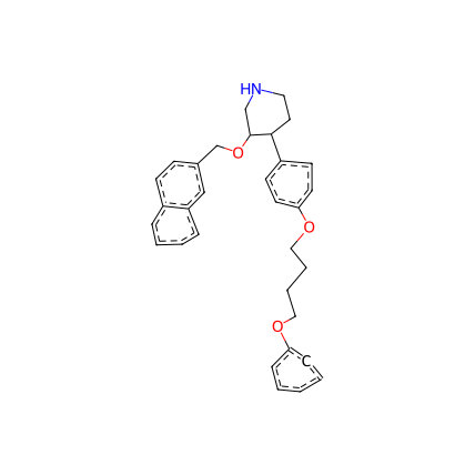 c1ccc(OCCCCOc2ccc(C3CCNCC3OCc3ccc4ccccc4c3)cc2)cc1